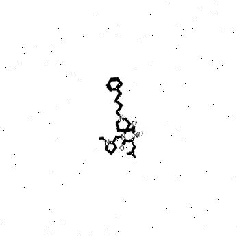 CCN1CCCC1CN1C(=O)[C@H](CC(C)C)NC(=O)C12CCN(CCCCc1ccccc1)CC2